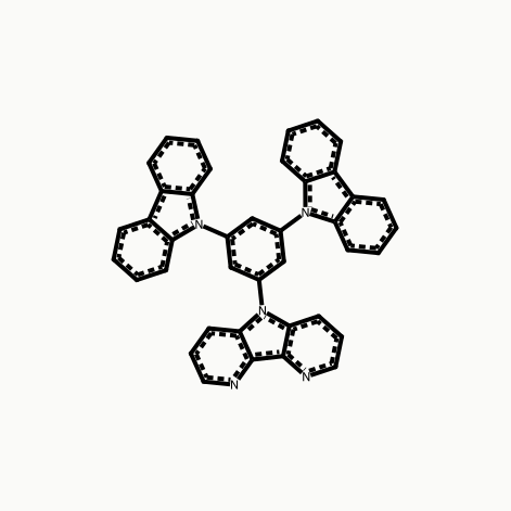 c1ccc2c(c1)c1ccccc1n2-c1cc(-n2c3ccccc3c3ccccc32)cc(-n2c3cccnc3c3ncccc32)c1